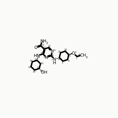 CCO[C@H]1CC[C@H](Nc2ncc(C(N)=O)c(N[C@H]3CCC[C@@H](O)C3)n2)CC1